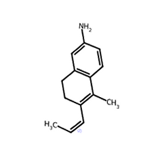 C/C=C\C1=C(C)c2ccc(N)cc2CC1